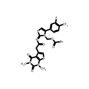 CC(C)C(=O)OCn1c(-c2ccc(C(F)(F)F)c(F)c2)csc1=NC(=O)Cc1csc2c1c(=O)n(C)c(=O)n2C